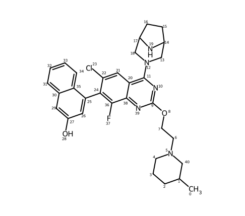 CC1CCCN(CCOc2nc(N3CC4CCC(C3)N4)c3cc(Cl)c(-c4cc(O)cc5ccccc45)c(F)c3n2)C1